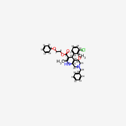 CC1=C(C(=O)OCCOc2ccccc2)C(c2cccc(Cl)c2C)C2=C(CN(Cc3ccccc3)CC2=O)N1